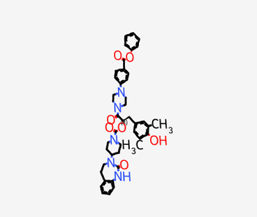 Cc1cc(C[C@@H](OC(=O)N2CCC(N3CCc4ccccc4NC3=O)CC2)C(=O)N2CCN(c3ccc(C(=O)Oc4ccccc4)cc3)CC2)cc(C)c1O